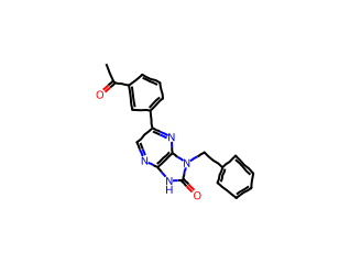 CC(=O)c1cccc(-c2cnc3[nH]c(=O)n(Cc4ccccc4)c3n2)c1